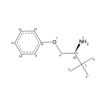 CC(C)(C)[C@H](N)COc1ccccc1